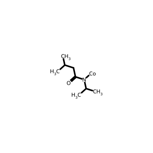 CC(C)CC(=O)[N]([Co])C(C)C